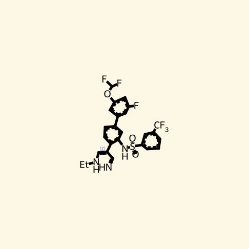 CCN/C=C(\C=N)c1ccc(-c2cc(F)cc(OC(F)F)c2)cc1NS(=O)(=O)c1cccc(C(F)(F)F)c1